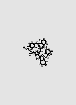 CCOC(=O)c1cc(C(=O)N[C@@H]2CCCC[C@@H]2OCc2ccccc2)n(CC(=O)N[C@H]2CCCC[C@H]2OCc2ccccc2)n1